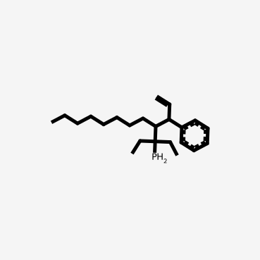 C=CC(c1ccccc1)C(CCCCCCCC)C(P)(CC)CC